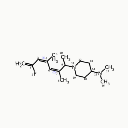 C=C(F)/C=C(C)\C=C(\C)C(C)N1CCC(N(C)C)CC1